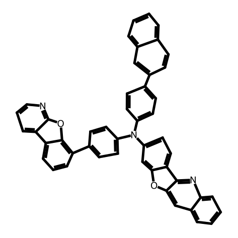 c1ccc2cc(-c3ccc(N(c4ccc(-c5cccc6c5oc5ncccc56)cc4)c4ccc5c(c4)oc4cc6ccccc6nc45)cc3)ccc2c1